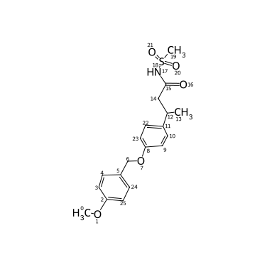 COc1ccc(COc2ccc(C(C)CC(=O)NS(C)(=O)=O)cc2)cc1